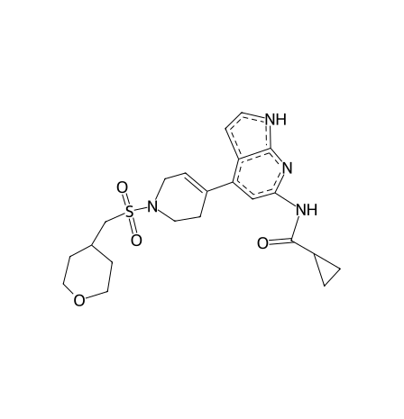 O=C(Nc1cc(C2=CCN(S(=O)(=O)CC3CCOCC3)CC2)c2cc[nH]c2n1)C1CC1